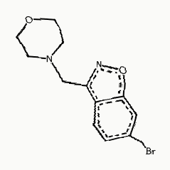 Brc1ccc2c(CN3CCOCC3)noc2c1